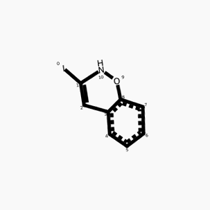 IC1=Cc2ccccc2ON1